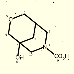 O=C(O)N1CC2COCC(O)(C2)C1